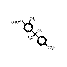 Cc1cc(C(c2ccc(C(=O)O)cc2)(C(F)(F)F)C(F)(F)F)ccc1OC=O